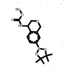 CC(C)(C)OC(=O)NC1COCc2cc(B3OC(C)(C)C(C)(C)O3)ccc21